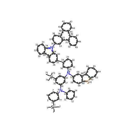 C[Si](C)(C)c1cccc(N(c2ccccc2)c2cc(N(c3cccc(-c4ccc5c6ccccc6n(-c6ccc7c8ccccc8c8ccccc8c7c6)c5c4)c3)c3ccc4sc5ccccc5c4c3)cc([Si](C)(C)C)c2)c1